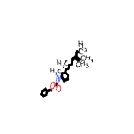 CCC(C/C=C(C)/C=C/C1CCC/C(=N\C(=O)OCc2ccccc2)[C@@H]1C)=C(C)C